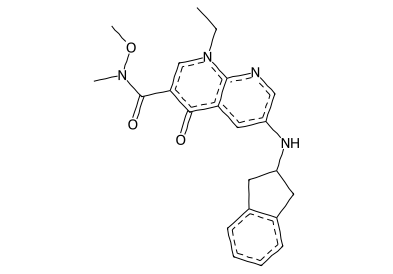 CCn1cc(C(=O)N(C)OC)c(=O)c2cc(NC3Cc4ccccc4C3)cnc21